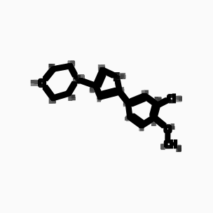 COc1ccc(-c2cc(N3CCOCC3)cs2)cc1Cl